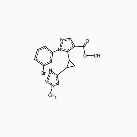 COC(=O)c1cnn(-c2cccc(Br)c2)c1C1CC1c1cn(C)nn1